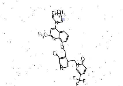 C=CN(/C=C\C)c1cc(C)nc2c(OCc3c(Cl)cncc3Cn3cc(C(F)(F)F)ccc3=O)cccc12